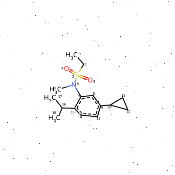 CCS(=O)(=O)N(C)c1cc(C2CC2)ccc1C(C)C